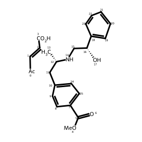 CC(=O)/C=C/C(=O)O.COC(=O)c1ccc(C[C@H](C)NC[C@@H](O)c2ccccc2)cc1